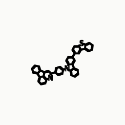 c1ccc2c(c1)-c1cccc3nc(-c4ccc(-n5c6ccccc6c6cc(-c7ccc8sc9ccccc9c8c7)ccc65)cc4)cc-2c13